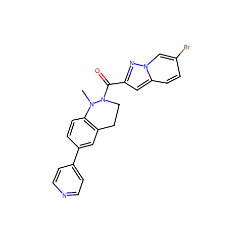 CN1c2ccc(-c3ccncc3)cc2CCN1C(=O)c1cc2ccc(Br)cn2n1